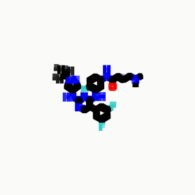 [2H]C([2H])([2H])n1cc(Nc2ncc(-c3cc(F)cc(F)c3)c(Nc3cc(NC(=O)/C=C/CN(C)C)ccc3F)n2)cn1